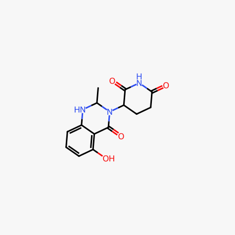 CC1Nc2cccc(O)c2C(=O)N1C1CCC(=O)NC1=O